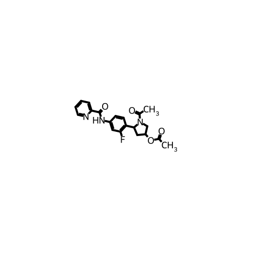 CC(=O)OC1CC(c2ccc(NC(=O)c3ccccn3)cc2F)N(C(C)=O)C1